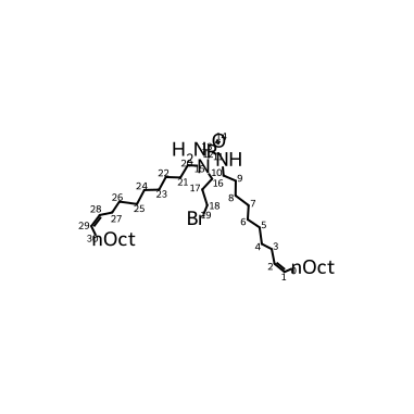 CCCCCCCC/C=C\CCCCCCCCNP(N)(=O)N(CCCBr)CCCCCCCC/C=C\CCCCCCCC